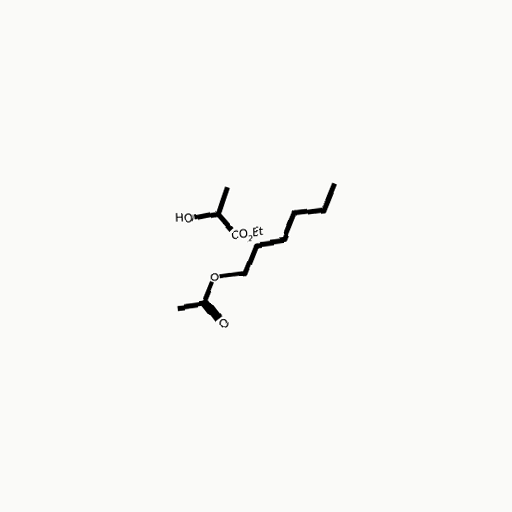 CCCCCCOC(C)=O.CCOC(=O)C(C)O